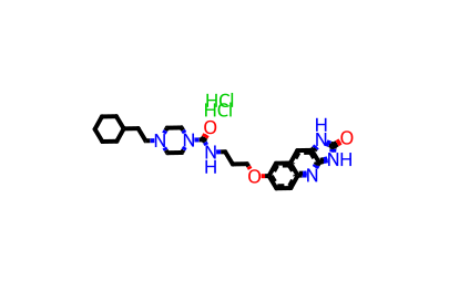 Cl.Cl.O=C(NCCCOc1ccc2nc3[nH]c(=O)[nH]c3cc2c1)N1CCN(CCC2CCCCC2)CC1